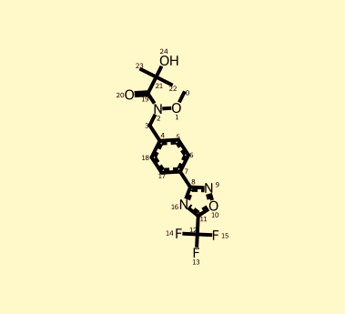 CON(Cc1ccc(-c2noc(C(F)(F)F)n2)cc1)C(=O)C(C)(C)O